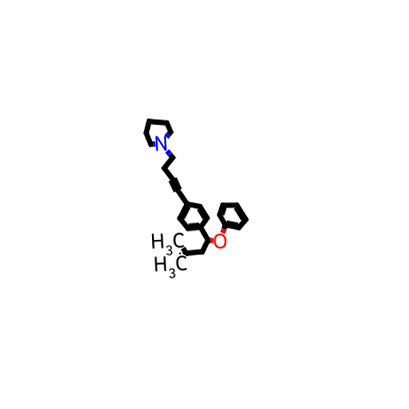 C[C](C)CC(Oc1ccccc1)c1ccc(C#CCCN2CCCCC2)cc1